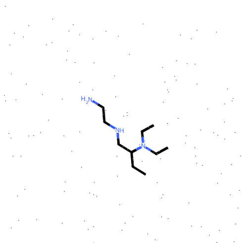 CCC(CNCCN)N(CC)CC